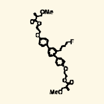 C=C(COC)C(=O)OCCOc1ccc(-c2ccc(-c3ccc(OCCOC(=O)C(=C)COC)cc3)c(CCCCF)c2)cc1